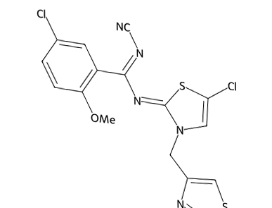 COc1ccc(Cl)cc1C(/N=c1\sc(Cl)cn1Cc1cscn1)=N\C#N